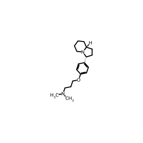 CN(C)CCCOc1ccc([C@H]2CC[C@H]3CCCCN32)cc1